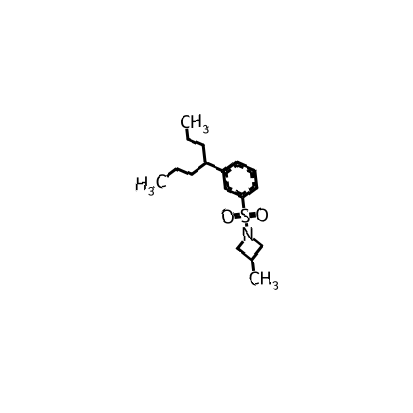 CCCC(CCC)c1cccc(S(=O)(=O)N2CC(C)C2)c1